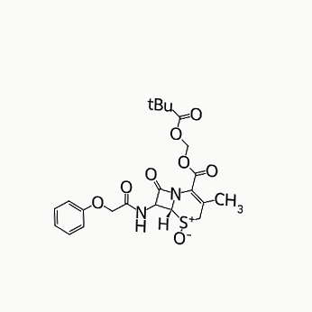 CC1=C(C(=O)OCOC(=O)C(C)(C)C)N2C(=O)C(NC(=O)COc3ccccc3)[C@H]2[S+]([O-])C1